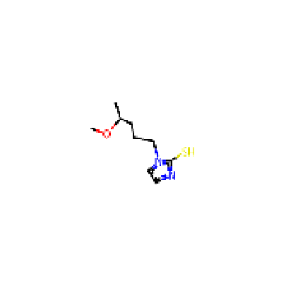 COC(C)CCCn1ccnc1S